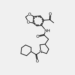 CC(=O)c1cc2c(cc1NC(=O)CC1CCN(C(=O)C3CCCCC3)C1)OCO2